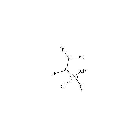 FC(F)[CH](F)[Sn]([Cl])([Cl])[Cl]